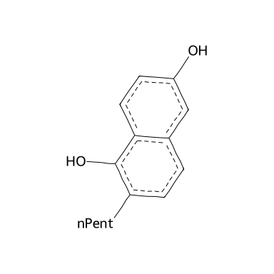 CCCCCc1ccc2cc(O)ccc2c1O